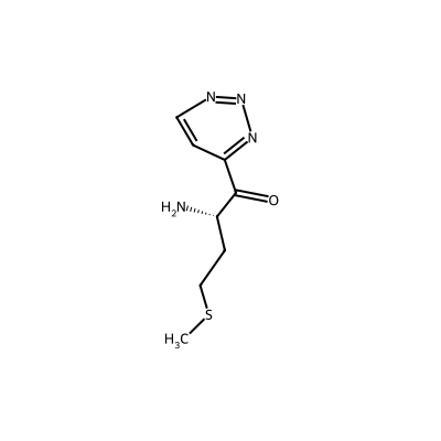 CSCC[C@H](N)C(=O)c1ccnnn1